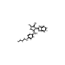 CCCCSc1ccc(NC2CN(C)C(=O)N2c2nc3ccccc3s2)cc1